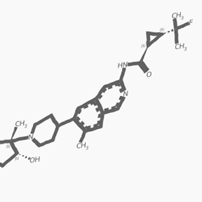 Cc1cc2cnc(NC(=O)[C@H]3C[C@@H]3C(C)(C)F)cc2cc1C1CCN([C@@]2(C)COC[C@H]2O)CC1